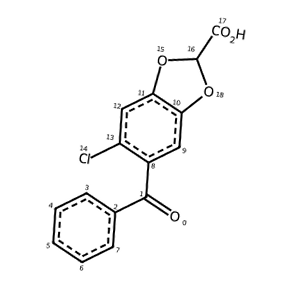 O=C(c1ccccc1)c1cc2c(cc1Cl)OC(C(=O)O)O2